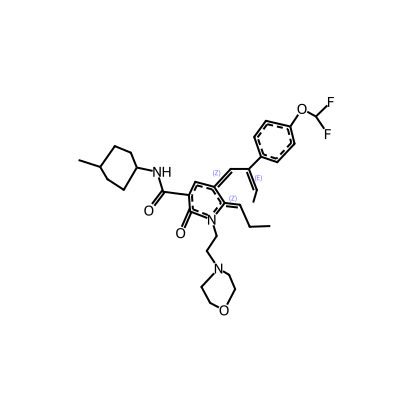 C\C=C(/C=c1/cc(C(=O)NC2CCC(C)CC2)c(=O)n(CCN2CCOCC2)/c1=C\CC)c1ccc(OC(F)F)cc1